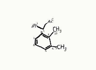 CC(=O)CC(C)C.Cc1ccccc1C